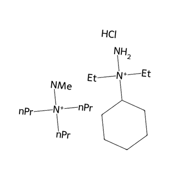 CCC[N+](CCC)(CCC)NC.CC[N+](N)(CC)C1CCCCC1.Cl